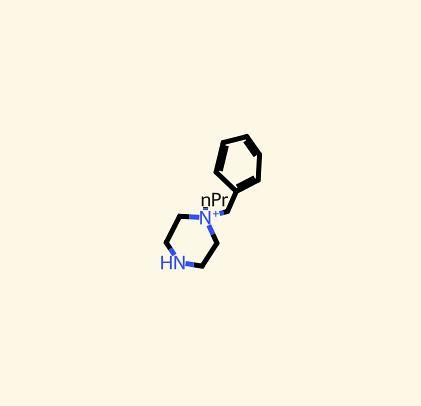 [CH2]CC[N+]1(Cc2ccccc2)CCNCC1